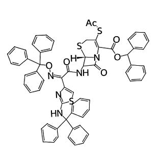 CC(=O)SC1=C(C(=O)OC(c2ccccc2)c2ccccc2)N2C(=O)C(NC(=O)/C(=N\OC(c3ccccc3)(c3ccccc3)c3ccccc3)c3csc(NC(c4ccccc4)(c4ccccc4)c4ccccc4)n3)[C@@H]2SC1